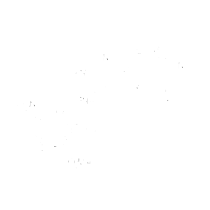 COc1ccc([N+](=O)[O-])c(CNc2cc(-c3ccc4ncsc4c3)nc(C)n2)c1Cl